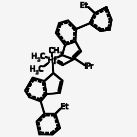 CCc1ccccc1-c1cccc2c1C=C[CH]2[Hf]([CH3])([CH3])([CH3])(=[CH]CC(C)C)[CH]1C=Cc2c(-c3ccccc3CC)cccc21